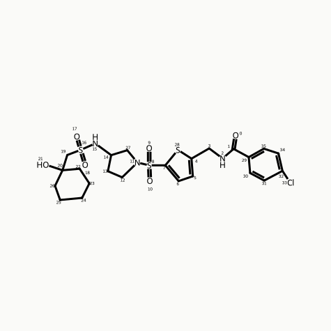 O=C(NCc1ccc(S(=O)(=O)N2CCC(NS(=O)(=O)CC3(O)CCCCC3)C2)s1)c1ccc(Cl)cc1